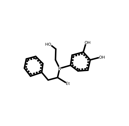 CCC(Cc1ccccc1)N(CCO)c1ccc(O)c(O)c1